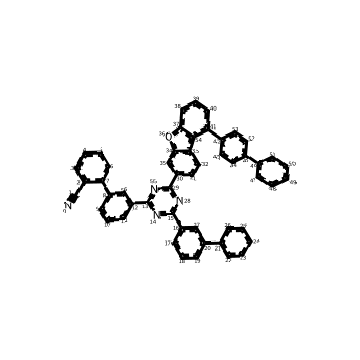 N#Cc1ccccc1-c1cccc(-c2nc(-c3cccc(-c4ccccc4)c3)nc(-c3ccc4c(c3)oc3cccc(-c5ccc(-c6ccccc6)cc5)c34)n2)c1